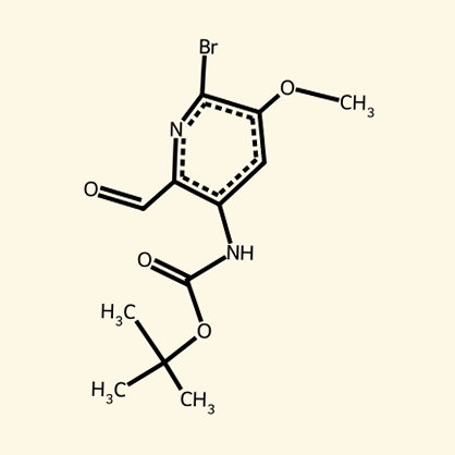 COc1cc(NC(=O)OC(C)(C)C)c(C=O)nc1Br